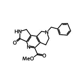 COC(=O)c1nc2c(c3c1CCN(Cc1ccccc1)C3)CNC2=O